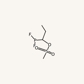 CCC(OS(C)(=O)=O)P(F)F